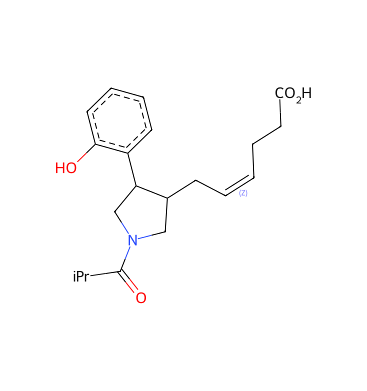 CC(C)C(=O)N1CC(C/C=C\CCC(=O)O)C(c2ccccc2O)C1